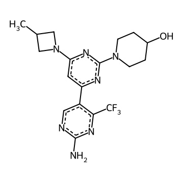 CC1CN(c2cc(-c3cnc(N)nc3C(F)(F)F)nc(N3CCC(O)CC3)n2)C1